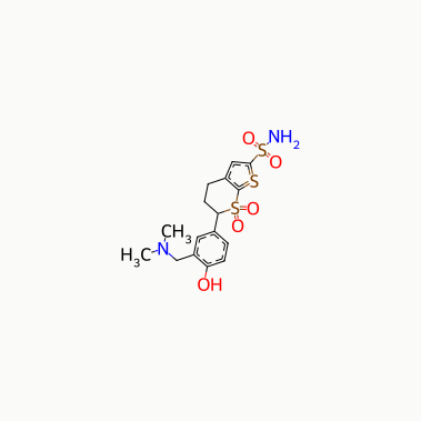 CN(C)Cc1cc(C2CCc3cc(S(N)(=O)=O)sc3S2(=O)=O)ccc1O